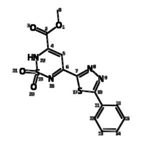 COC(=O)C1=CC(c2nnc(-c3ccccc3)s2)=NS(=O)(=O)N1